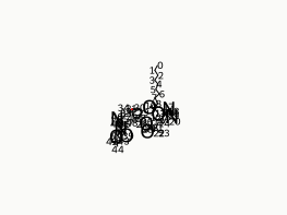 CCCCCCCCCC(=O)OC[C@H](Cc1cncn1C)C(CC)C(=O)OCc1cccc([C@H](C)c2cn(C(=O)OC(C)(C)C)cn2)c1C